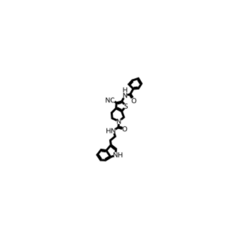 N#Cc1c(NC(=O)c2ccccc2)sc2c1CCN(C(=O)NCCc1c[nH]c3ccccc13)C2